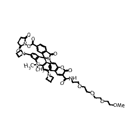 COCCOCCOCCOCCNC(=O)c1cc2ccc(N3C(=O)c4ccc(C(=O)ON5C(=O)CCC5=O)cc4C34c3ccc(N5CCC5)cc3[Si](C)(C)c3cc(N5CCC5)ccc34)cc2oc1=O